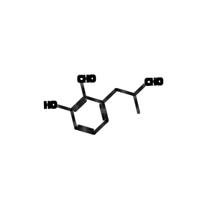 CC(C=O)Cc1cccc(O)c1C=O